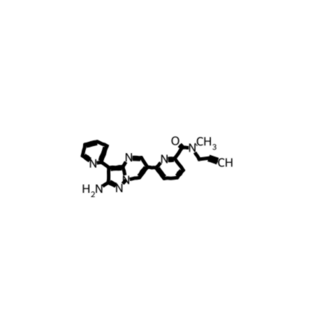 C#CCN(C)C(=O)c1cccc(-c2cnc3c(-c4ccccn4)c(N)nn3c2)n1